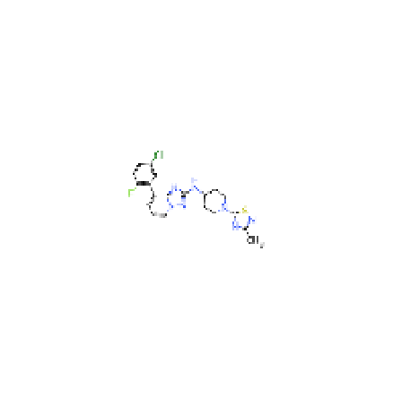 Cc1nsc(N2CCC(Nc3nc4c(-c5cc(Cl)ccc5F)cccn4n3)CC2)n1